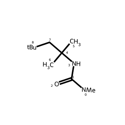 CNC(=O)NC(C)(C)CC(C)(C)C